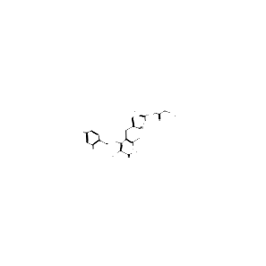 Cc1[nH]c(=O)c(Br)c(OCc2ccc(F)cc2F)c1Cc1cnc(NC(=O)CN)nc1